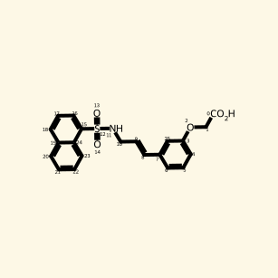 O=C(O)COc1cccc(C=CCNS(=O)(=O)c2cccc3ccccc23)c1